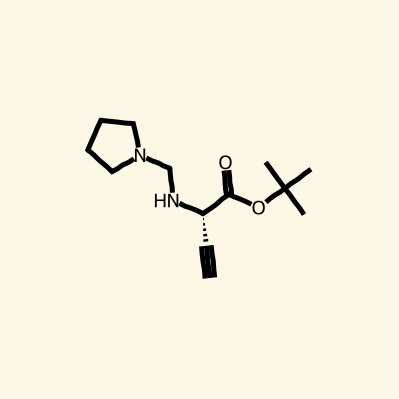 C#C[C@H](NCN1CCCC1)C(=O)OC(C)(C)C